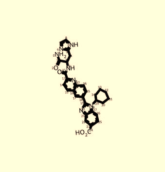 NC(=O)C(Cc1ncc[nH]1)NC(=O)c1ccc2cc(-c3nc4cc(C(=O)O)ccc4n3C3CCCCC3)ccc2n1